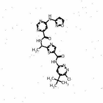 CC(NC(=O)c1cc(Nc2ccon2)ncn1)c1ncc(C(=O)Nc2cc(C(C)(C)C)c(Cl)nn2)s1